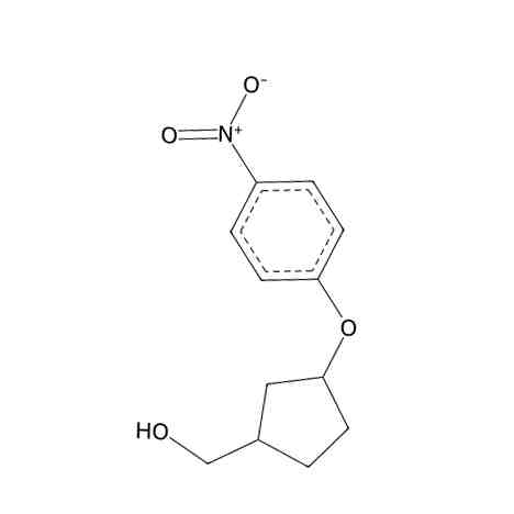 O=[N+]([O-])c1ccc(OC2CCC(CO)C2)cc1